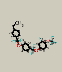 CCc1ccc(C(F)(F)Oc2ccc(C(F)(F)Oc3ccc(OC(F)(F)F)c(F)c3)cc2)cc1